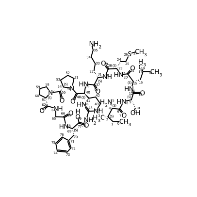 CC[C@H](C)[C@H](N)C(=O)N[C@@H](CO)C(=O)N[C@@H](CC(C)C)C(=O)N[C@@H](CCSC)C(=O)N[C@@H](CCCCN)C(=O)N[C@@H](CCCNC(=N)N)C(=O)N1CCC[C@H]1C(=O)N1CCC[C@H]1C(=O)NCC(=O)N[C@@H](Cc1ccccc1)C(=O)O